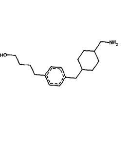 NCC1CCC(Cc2ccc(CCCCO)cc2)CC1